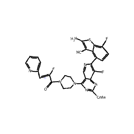 COc1nc(N2CCN(C(=O)/C(F)=C/c3ccccn3)CC2)c2cnc(-c3ccc(F)c4sc(N)c(C#N)c34)c(F)c2n1